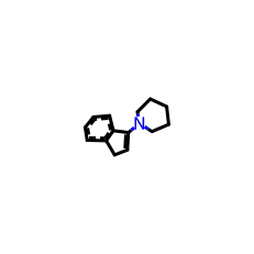 C1=C(N2CCCCC2)c2ccccc2C1